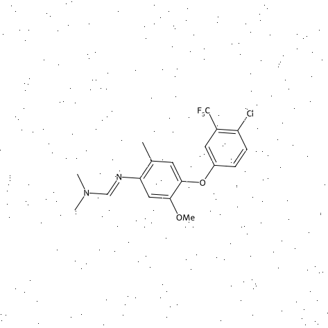 COc1cc(/N=C/N(C)C)c(C)cc1Oc1ccc(Cl)c(C(F)(F)F)c1